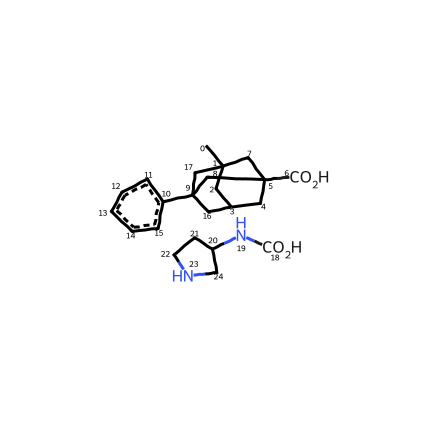 CC12CC3CC(C(=O)O)(C1)CC(c1ccccc1)(C3)C2.O=C(O)NC1CCNC1